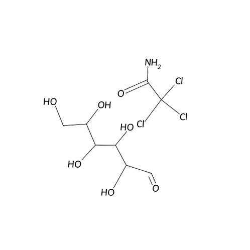 NC(=O)C(Cl)(Cl)Cl.O=CC(O)C(O)C(O)C(O)CO